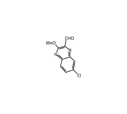 COc1nc2ccc(Cl)cc2nc1C=O